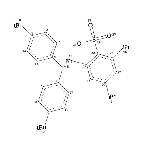 CC(C)(C)c1ccc([I+]c2ccc(C(C)(C)C)cc2)cc1.CC(C)c1cc(C(C)C)c(S(=O)(=O)[O-])c(C(C)C)c1